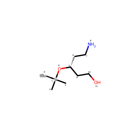 CC(C)(C)[Si](C)(C)O[C@H](CCN)CCO